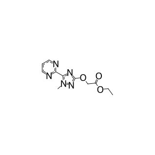 CCOC(=O)COc1nc(-c2ncccn2)n(C)n1